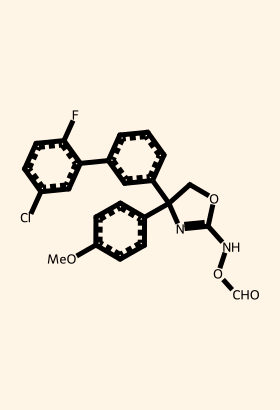 COc1ccc(C2(c3cccc(-c4cc(Cl)ccc4F)c3)COC(NOC=O)=N2)cc1